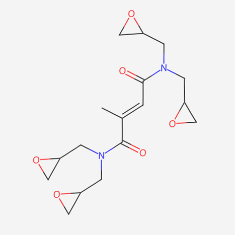 C/C(=C\C(=O)N(CC1CO1)CC1CO1)C(=O)N(CC1CO1)CC1CO1